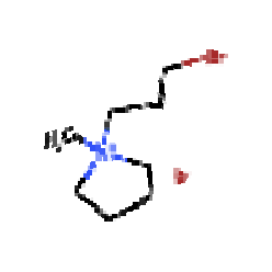 C[N+]1(CCCBr)CCCC1.[Br-]